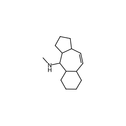 CNC1C2CCCCC2C=CC2CCCC21